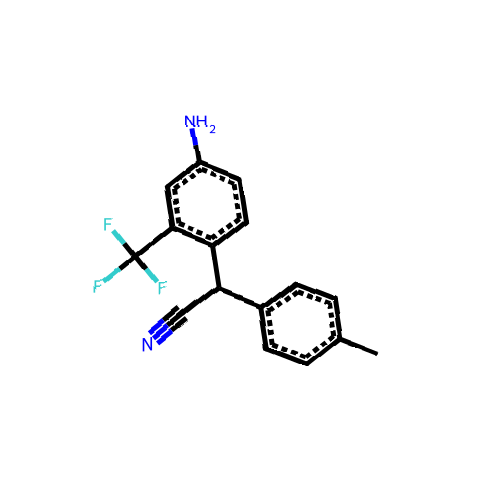 Cc1ccc(C(C#N)c2ccc(N)cc2C(F)(F)F)cc1